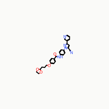 N#Cc1cc(-c2cccnc2)nn1-c1ccc(NC(=O)c2ccc(OCCCC3OCCO3)cc2)cc1